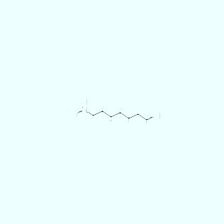 CC(C)(C)NCCCCCCCCl